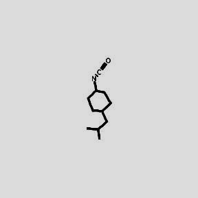 CC(C)CC1CCC(N=C=O)CC1